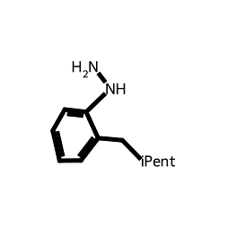 CCCC(C)Cc1ccccc1NN